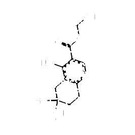 CCOC(=O)c1cnc2c(c1O)CC(C)(O)CC2